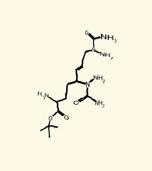 CC(C)(C)OC(=O)C(N)CCC(/C=C/CN(N)C(N)=O)N(N)C(N)=O